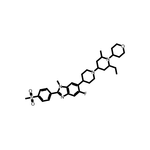 CCC1CC(N2CCC(c3cc4c(cc3F)nc(-c3ccc(S(C)(=O)=O)cc3)n4C)CC2)CC(C)N1C1CCOCC1